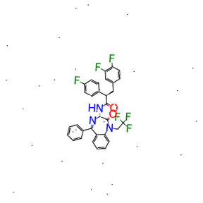 O=C(N[C@H]1N=C(c2ccccc2)c2ccccc2N(CC(F)(F)F)C1=O)[C@H](Cc1ccc(F)c(F)c1)c1ccc(F)cc1